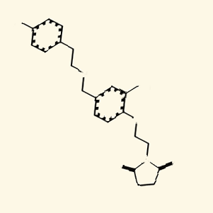 Cc1ccc(CCNCc2ccc(OCCN3C(=O)CCC3=O)c(C)c2)cc1